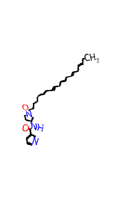 CCC=CCC=CCC=CCC=CCC=CCCCC(=O)N1CCC(NC(=O)c2cccnc2)C1